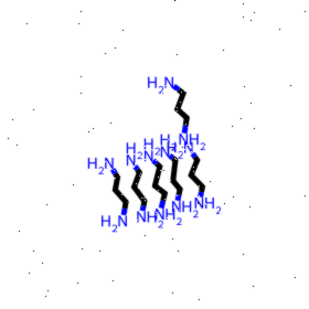 NCCCN.NCCCN.NCCCN.NCCCN.NCCCN.NCCCN